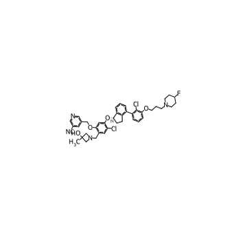 CC1(O)CN(Cc2cc(Cl)c(O[C@H]3CCc4c(-c5cccc(OCCCN6CCC(F)CC6)c5Cl)cccc43)cc2OCc2cncc(C#N)c2)C1